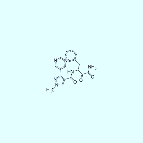 Cn1cc(C(=O)NC(Cc2ccccc2)C(=O)C(N)=O)c(-c2cncnc2)n1